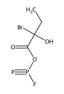 CCC(O)(Br)C(=O)OP(F)#P